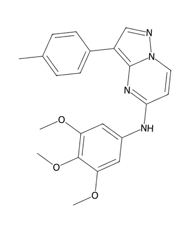 COc1cc(Nc2ccn3ncc(-c4ccc(C)cc4)c3n2)cc(OC)c1OC